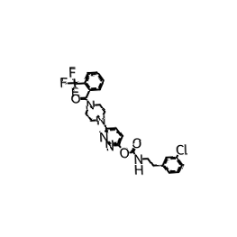 O=C(NCCc1cccc(Cl)c1)Oc1ccc(N2CCN(C(=O)c3ccccc3C(F)(F)F)CC2)nn1